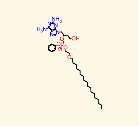 CCCCCCCCCCCCCCCCCCOCCOP(=O)(COC(CCO)Cn1cnc2c(N)nc(N)nc21)Oc1ccccc1